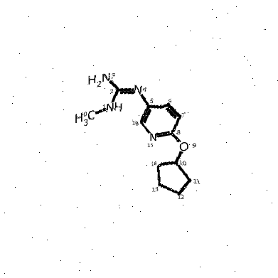 CN/C(N)=N\c1ccc(OC2CCCC2)nc1